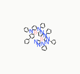 c1ccc(-c2ccc3c(c2)N(c2ccccc2)c2cccc4c2B3c2cc3c(nc2N4c2ccccc2)N(c2ccccc2)c2nc(-c4ccccc4)nc4c2B3c2cncnc2N4c2ccccc2)cc1